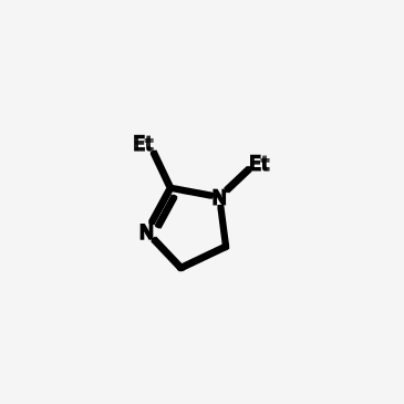 CCC1=NCCN1CC